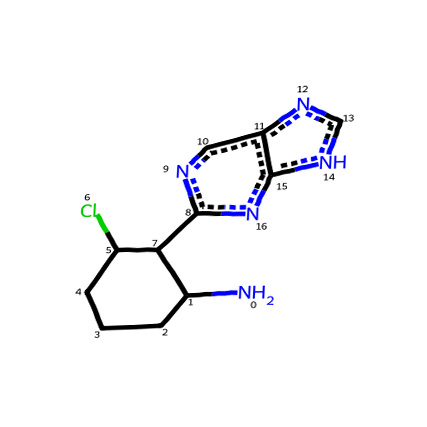 NC1CCCC(Cl)C1c1ncc2nc[nH]c2n1